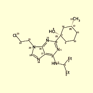 CCC(CC)Nc1nc([C@]2(O)CCC[C@@H](C)C2)nc2c1ncn2CCCl